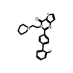 O=c1c2sccc2nc(-c2ccc(-c3ccccc3F)cc2)n1CCN1CCCCC1